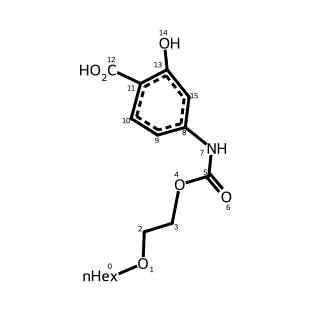 CCCCCCOCCOC(=O)Nc1ccc(C(=O)O)c(O)c1